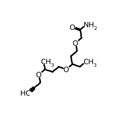 C#CCOC(C)CCOC(CC)CCOCC(N)=O